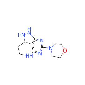 C1CC2NNc3nc(N4CCOCC4)nc(c32)N1